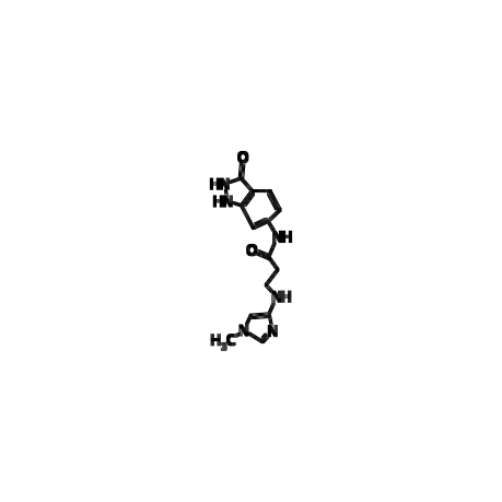 Cn1cnc(NCCC(=O)Nc2ccc3c(=O)[nH][nH]c3c2)c1